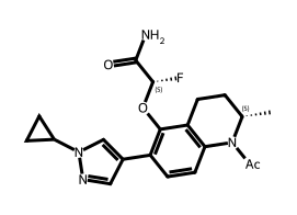 CC(=O)N1c2ccc(-c3cnn(C4CC4)c3)c(O[C@@H](F)C(N)=O)c2CC[C@@H]1C